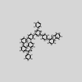 c1ccc(-c2nc(-c3ccc(-c4cccc(-c5cccc6c(-c7ccccc7)nc7ccccc7c56)c4)cc3)nc(-c3ccc(-c4cccc5c4oc4ccccc45)cc3)n2)cc1